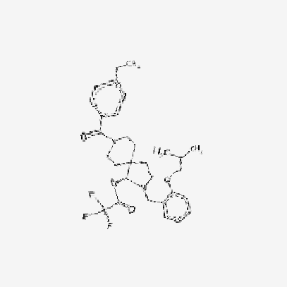 CCc1ccc(C(=O)N2CCC3(CC2)CCN(Cc2ccccc2OCC(C)C)C3OC(=O)C(F)(F)F)cc1